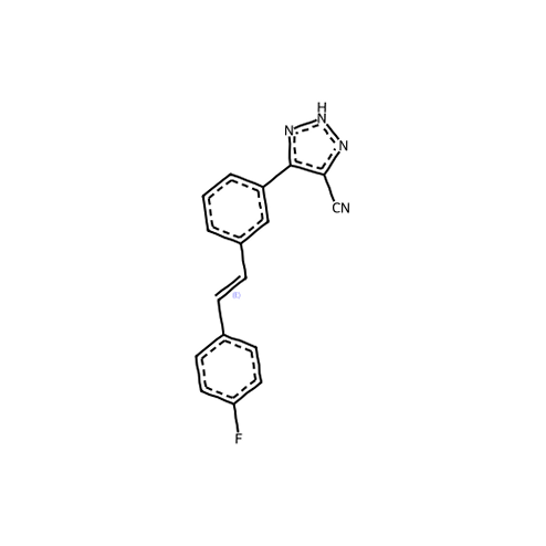 N#Cc1n[nH]nc1-c1cccc(/C=C/c2ccc(F)cc2)c1